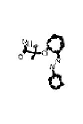 CC(C)(Oc1ccccc1N=Nc1ccccc1)C(N)=O